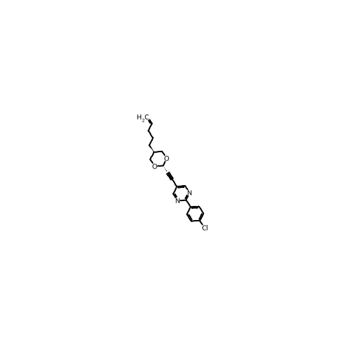 C=CCCC[C@H]1CO[C@H](C#Cc2cnc(-c3ccc(Cl)cc3)nc2)OC1